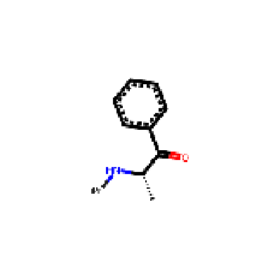 CC(C)N[C@@H](C)C(=O)c1[c]cccc1